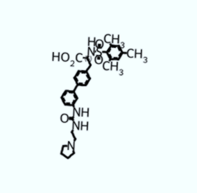 Cc1cc(C)c(S(=O)(=O)N[C@@H](Cc2ccc(-c3cccc(NC(=O)NCCN4CCCC4)c3)cc2)C(=O)O)c(C)c1